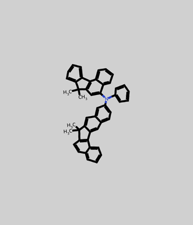 CC1(C)c2cc3cc(N(c4ccccc4)c4cc5c(c6ccccc46)-c4ccccc4C5(C)C)ccc3cc2-c2c1ccc1ccccc21